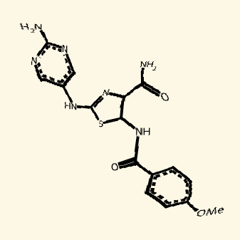 COc1ccc(C(=O)NC2SC(Nc3cnc(N)nc3)=NC2C(N)=O)cc1